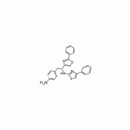 Nc1ccc(CC(Nc2nc(-c3ccccc3)cs2)c2csc(-c3ccccc3)n2)cc1